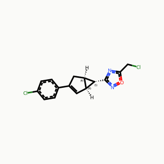 ClCc1nc([C@@H]2[C@H]3C=C(c4ccc(Cl)cc4)C[C@H]32)no1